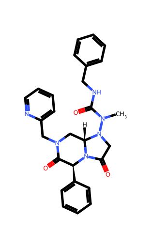 CN(C(=O)NCc1ccccc1)N1CC(=O)N2[C@@H](c3ccccc3)C(=O)N(Cc3ccccn3)C[C@@H]21